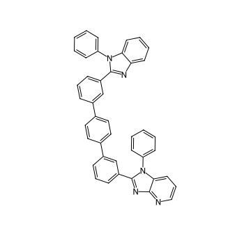 c1ccc(-n2c(-c3cccc(-c4ccc(-c5cccc(-c6nc7ncccc7n6-c6ccccc6)c5)cc4)c3)nc3ccccc32)cc1